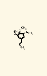 COc1cc(CCN)cc(OC)c1SC